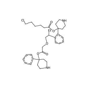 CCC(COCC(=O)OC1(c2ccccc2)CCNCC1)c1ccccc1C1(OC(=O)CCCCCCl)CCNCC1